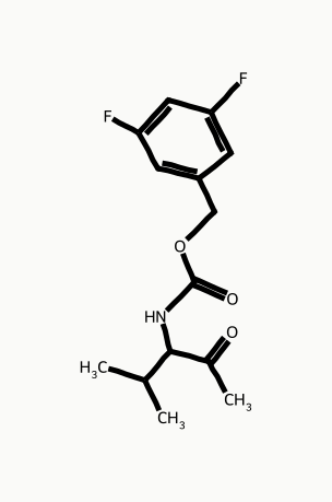 CC(=O)C(NC(=O)OCc1cc(F)cc(F)c1)C(C)C